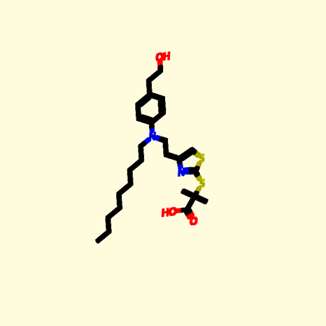 CCCCCCCCCN(CCc1csc(SC(C)(C)C(=O)O)n1)c1ccc(CCO)cc1